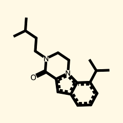 CC(C)CCN1CCn2c(cc3cccc(C(C)C)c32)C1=O